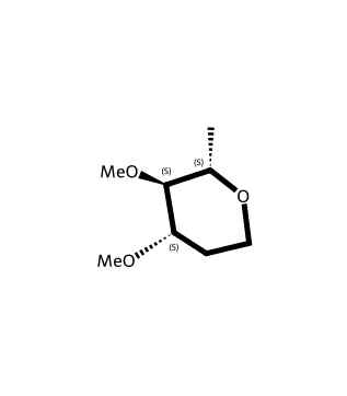 CO[C@H]1[C@H](C)OCC[C@@H]1OC